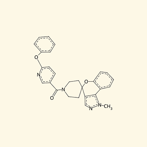 Cn1ncc2c1-c1ccccc1OC21CCN(C(=O)c2ccc(Oc3ccccc3)nc2)CC1